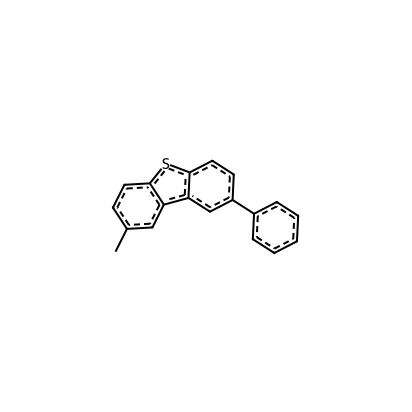 Cc1ccc2sc3ccc(-c4ccccc4)cc3c2c1